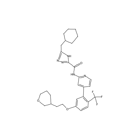 O=C(Nc1cc(-c2cc(OCCC3CCCOC3)ccc2C(F)(F)F)ccn1)c1nnc(CC2CCCCC2)[nH]1